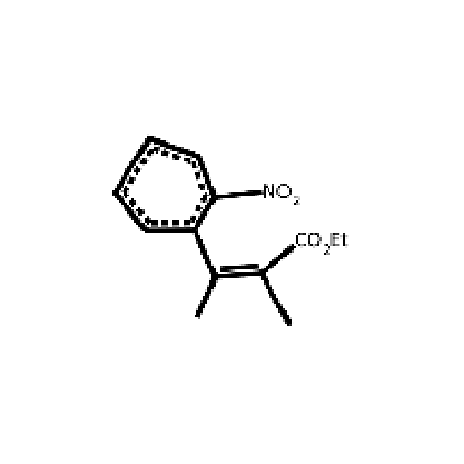 CCOC(=O)/C(C)=C(/C)c1ccccc1[N+](=O)[O-]